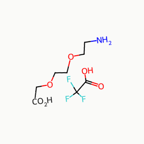 NCCOCCOCC(=O)O.O=C(O)C(F)(F)F